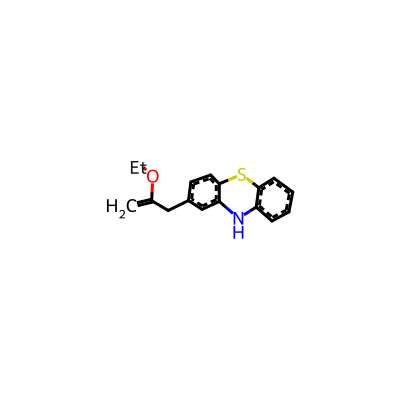 C=C(Cc1ccc2c(c1)Nc1ccccc1S2)OCC